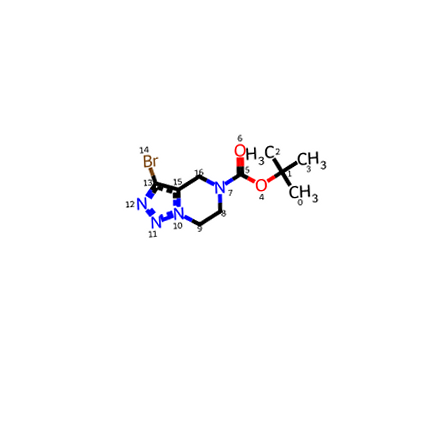 CC(C)(C)OC(=O)N1CCn2nnc(Br)c2C1